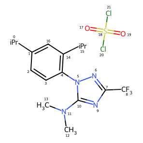 CC(C)c1ccc(-n2nc(C(F)(F)F)nc2N(C)C)c(C(C)C)c1.O=S(=O)(Cl)Cl